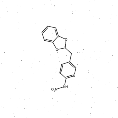 O=[N+]([O-])Nc1ncc(CC2Oc3ccccc3O2)cn1